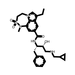 CCc1cn2c3c(cc(C(=O)N[C@@H](Cc4ccccc4)[C@H](O)CNCC4CC4)cc13)N(C)S(=O)(=O)CC2